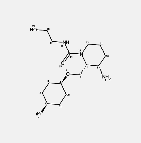 CC(C)[C@H]1CC[C@@H](OC[C@H]2[C@@H](N)CCCN2C(=O)NCCO)CC1